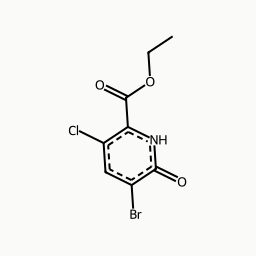 CCOC(=O)c1[nH]c(=O)c(Br)cc1Cl